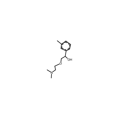 Cc1cccc(C(O)COCCN(C)C)c1